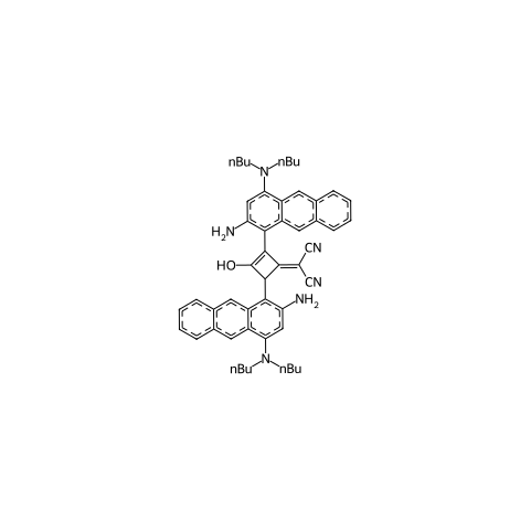 CCCCN(CCCC)c1cc(N)c(C2=C(O)C(c3c(N)cc(N(CCCC)CCCC)c4cc5ccccc5cc34)C2=C(C#N)C#N)c2cc3ccccc3cc12